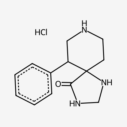 Cl.O=C1NCNC12CCNCC2c1ccccc1